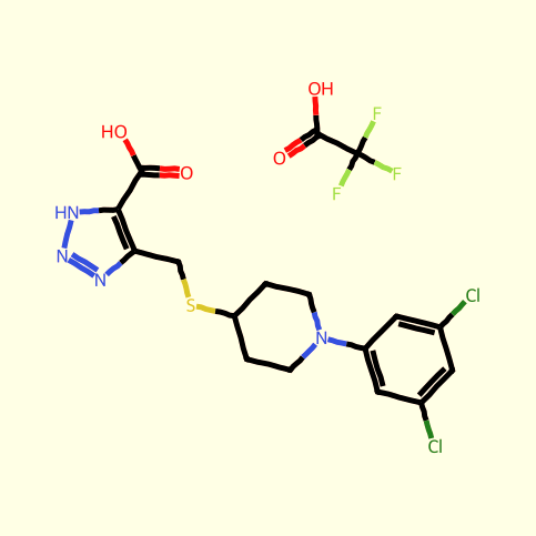 O=C(O)C(F)(F)F.O=C(O)c1[nH]nnc1CSC1CCN(c2cc(Cl)cc(Cl)c2)CC1